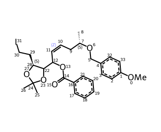 COc1ccc(CO[C@@H](C)C/C=C\C(OC(=O)c2ccccc2)C2OC(C)(C)O[C@H]2CCI)cc1